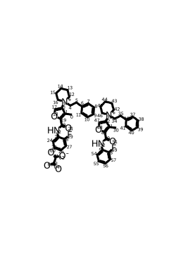 Cc1c([N+]2(CCc3ccccc3)CCCCC2)coc1C(=O)Nc1ccccc1F.Cc1c([N+]2(CCc3ccccc3)CCCCC2)coc1C(=O)Nc1ccccc1F.O=C([O-])C(=O)[O-]